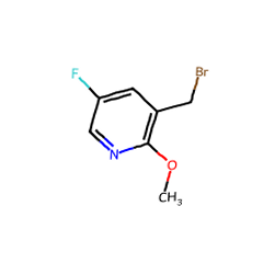 COc1ncc(F)cc1CBr